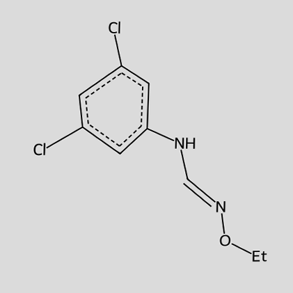 CCO/N=C/Nc1cc(Cl)cc(Cl)c1